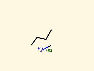 CCCC.CN.Cl